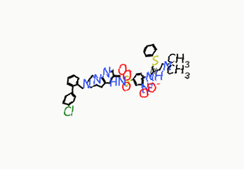 CN(C)CC[C@H](CSc1ccccc1)Nc1ccc(S(=O)(=O)NC(=O)c2cnc3c(c2)CC2CN(Cc4ccccc4-c4ccc(Cl)cc4)CCN32)cc1[N+](=O)[O-]